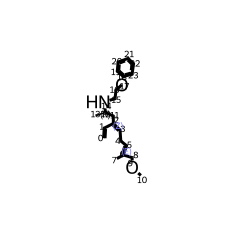 C=C/C(=C\C/C=C(\C)COC)C[C@@H](C)NCCOc1ccccc1